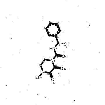 CCN1CCN(C(=O)N[C@@H](S)c2ccccc2)C(=O)C1=O